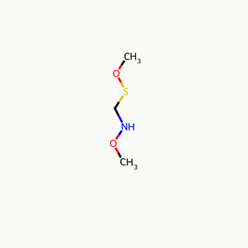 CONCSOC